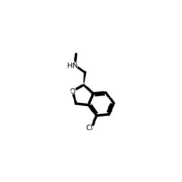 CNC[C@@H]1OCc2c(Cl)cccc21